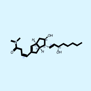 CCCCC[C@H](O)/C=C/[C@@H]1[C@H]2CC(/C=C\CC(=O)N(C)C)=C[C@H]2C[C@H]1O